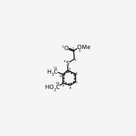 COC(=O)CSc1cccc(C(=O)O)c1C